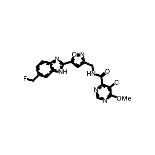 COc1ncnc(C(=O)NCc2cc(-c3nc4ccc(CF)cc4[nH]3)on2)c1Cl